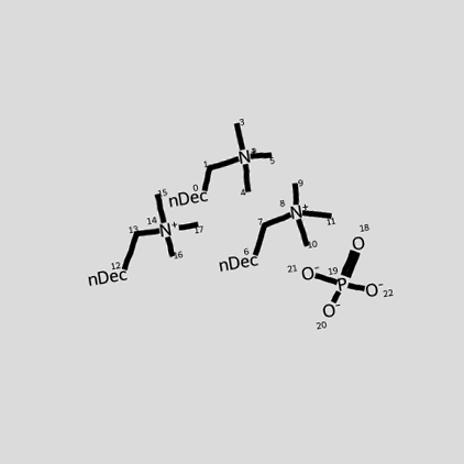 CCCCCCCCCCC[N+](C)(C)C.CCCCCCCCCCC[N+](C)(C)C.CCCCCCCCCCC[N+](C)(C)C.O=P([O-])([O-])[O-]